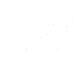 c1ccc(C2=NC(c3cccc4sc5ccccc5c34)=NC(c3cccc4c3oc3c4ccc4c(-c5ccccc5)nc5ccccc5c43)N2)cc1